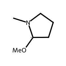 CO[C]1CCCN1C